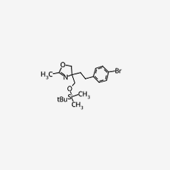 CC1=NC(CCc2ccc(Br)cc2)(CO[Si](C)(C)C(C)(C)C)CO1